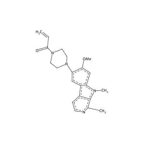 C=CC(=O)N1CCN(c2cc3c4ccnc(C)c4n(C)c3cc2OC)CC1